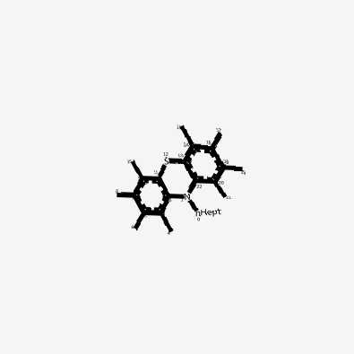 CCCCCCCN1c2c(C)c(C)c(C)c(C)c2Sc2c(C)c(C)c(C)c(C)c21